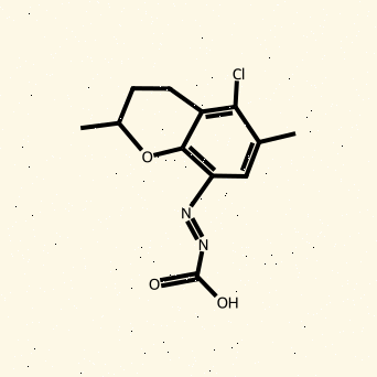 Cc1cc(N=NC(=O)O)c2c(c1Cl)CCC(C)O2